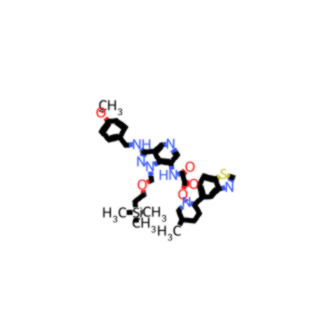 COc1ccc(CNc2nn(COCC[Si](C)(C)C)c3c(NC(=O)C(=O)ON4CC(C)CCC4c4ccc5scnc5c4)cncc23)cc1